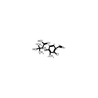 Cc1c(N[C@@H](C(=O)O)C(C)(C)O)ccc(C#N)c1Cl